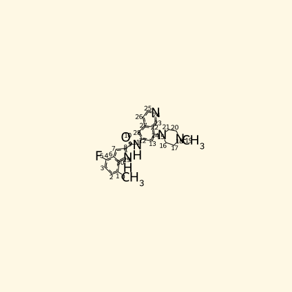 Cc1ccc(F)c2cc(C(=O)Nc3cc(N4CCN(C)CC4)c4cnccc4c3)[nH]c12